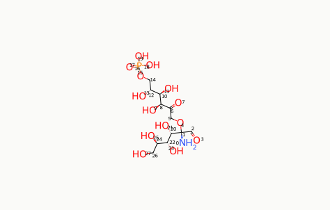 N[C@](C=O)(OCC(=O)[C@@H](O)[C@H](O)[C@H](O)COP(=O)(O)O)[C@@H](O)[C@H](O)[C@H](O)CO